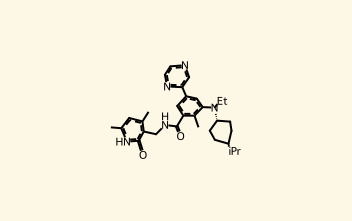 CCN(c1cc(-c2cnccn2)cc(C(=O)NCc2c(C)cc(C)[nH]c2=O)c1C)[C@H]1CC[C@H](C(C)C)CC1